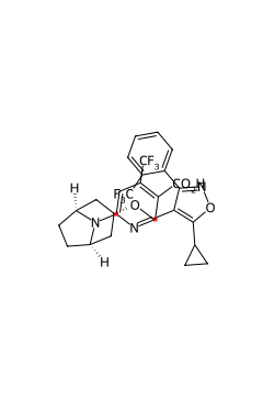 O=C(O)c1cnc(N2[C@@H]3CC[C@H]2C[C@H](OCc2c(-c4ccccc4C(F)(F)F)noc2C2CC2)C3)cc1C(F)(F)F